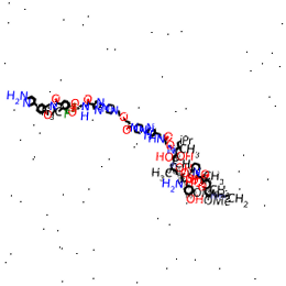 C=C/C=C/C=C(\C)[C@H](C[C@@H]1CC[C@@H](C)[C@](O)(C(=O)C(=O)N2CCCC[C@H]2C(=O)O[C@@H](C[C@@H](O)[C@H](C)/C=C(\C)[C@@H](O)[C@@H](O)/C(=N/OCC(=O)NCc2cnc(N3CCN(C(=O)CCOCCN4CCN(c5ncc(C(=O)NCCS(=O)(=O)c6ccc(C(=O)N7CCOc8ccc(-c9ccc(N)nc9)cc8C7)c(C)c6F)cn5)CC4)CC3)nc2)[C@H](C)CC(C)C)[C@H](N)C[C@@H]2CC[C@@H](O)[C@H](OC)C2)O1)OC